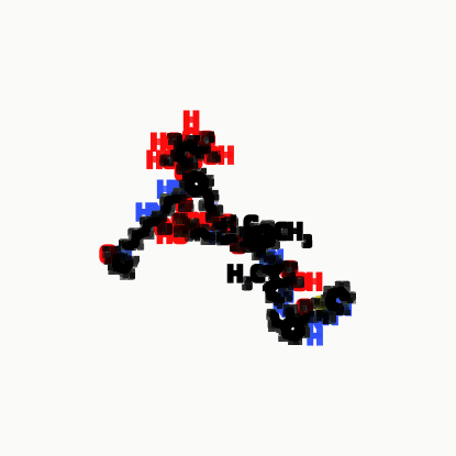 Cc1c(-c2ccc(N3CCc4cccc(C(=O)Nc5nc6ncccc6s5)c4C3)nc2C(=O)O)cnn1CC12CC3(C)CC(C)(C1)CC(OCCN(CCCP(=O)(O)O)C(=O)OC/C=C/c1ccc(O[C@@H]4O[C@H](C(=O)O)[C@@H](O)[C@H](O)[C@H]4O)c(NC(=O)CCNC(=O)CCCCCN4CC=CC4=O)c1)(C3)C2